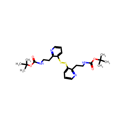 CC(C)(C)OC(=O)NCCc1ncccc1SSc1cccnc1CCNC(=O)OC(C)(C)C